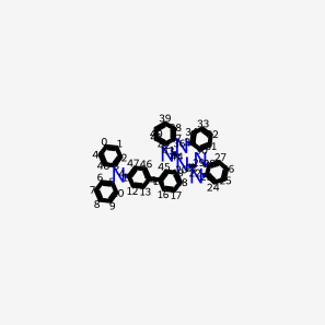 c1ccc(N(c2ccccc2)c2ccc(-c3cccc(-n4c5nc6ccccc6n5c5ccccc5n5c6ccccc6nc45)c3)cc2)cc1